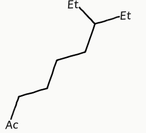 CCC(CC)CCCCC(C)=O